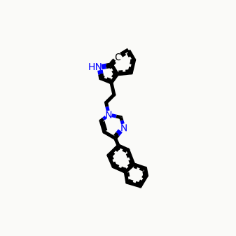 C1=CN(CCc2c[nH]c3ccccc23)CN=C1c1ccc2ccccc2c1